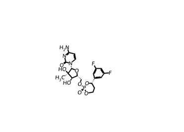 C[C@@]1(O)[C@H](O)[C@@H](CO[P@@]2(=O)OCC[C@@H](c3cc(F)cc(F)c3)O2)O[C@H]1n1ccc(N)nc1=O